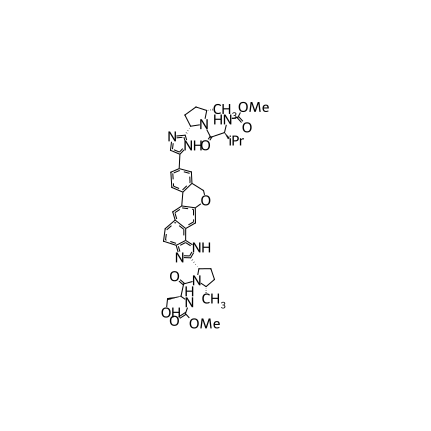 COC(=O)N[C@@H](CO)C(=O)N1[C@@H](C)CC[C@H]1c1nc2ccc3cc4c(cc3c2[nH]1)OCc1cc(-c2cnc([C@@H]3CC[C@H](C)N3C(=O)[C@@H](NC(=O)OC)C(C)C)[nH]2)ccc1-4